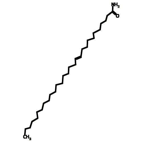 CCCCCCCCCCCCCCCCCC=CCCCCCCCCCC(N)=O